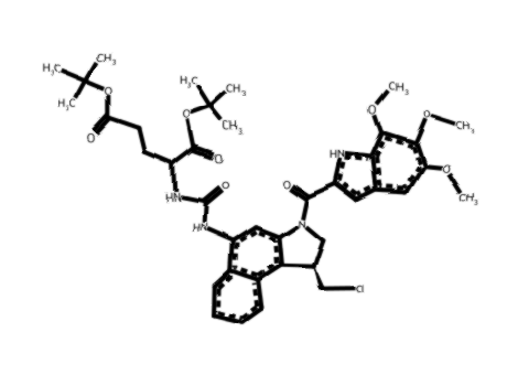 COc1cc2cc(C(=O)N3C[C@@H](CCl)c4c3cc(NC(=O)NC(CCC(=O)OC(C)(C)C)C(=O)OC(C)(C)C)c3ccccc43)[nH]c2c(OC)c1OC